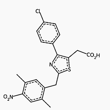 Cc1cc([N+](=O)[O-])c(C)cc1Cc1nc(-c2ccc(Cl)cc2)c(CC(=O)O)s1